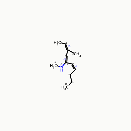 C\C=C(C)/C=C(\C=C/CCC)NC